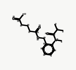 CC(C)C(=O)N(C)c1ccccc1COC(=O)CCCC(=O)I